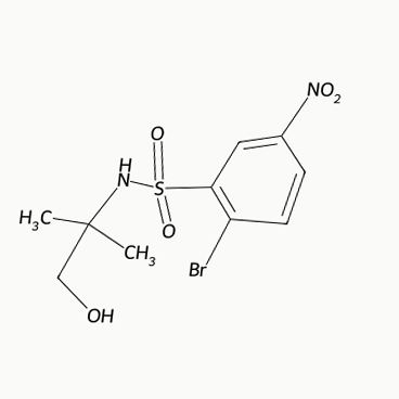 CC(C)(CO)NS(=O)(=O)c1cc([N+](=O)[O-])ccc1Br